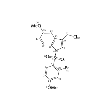 COc1ccc(S(=O)(=O)n2cc(CCl)c3cc(OC)ccc32)c(Br)c1